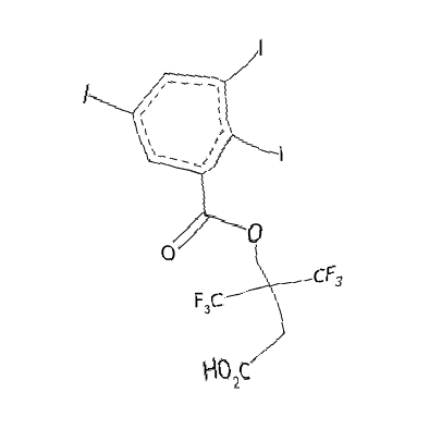 O=C(O)CC(OC(=O)c1cc(I)cc(I)c1I)(C(F)(F)F)C(F)(F)F